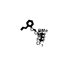 C=CCc1ccccc1OCO[Si](CC)(OC)C(F)(F)C(F)(F)C(F)(F)C(F)(F)F